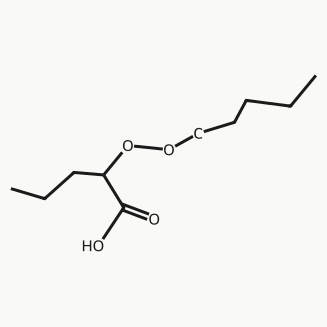 CCCCCOOC(CCC)C(=O)O